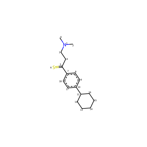 CN(C)CCC(=S)c1ccc(C2CCCCC2)cc1